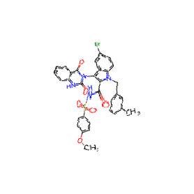 COc1ccc(S(=O)(=O)NC(=O)c2c(-n3c(=O)[nH]c4ccccc4c3=O)c3cc(Br)ccc3n2Cc2cccc(C)c2)cc1